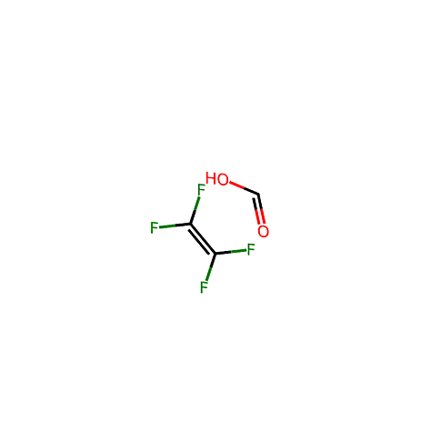 FC(F)=C(F)F.O=CO